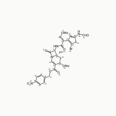 CON=C(C(=O)NC1C(=O)N2C=C(C(=O)OCc3ccc([N+](=O)[O-])cc3)C(OC)S[C@H]12)c1nc(NC=O)sc1Br